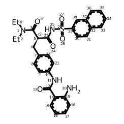 CCN(CC)C(=O)[C@H](Cc1ccc(NC(=O)c2ccccc2N)cc1)C(=O)NS(=O)(=O)c1ccc2ccccc2c1